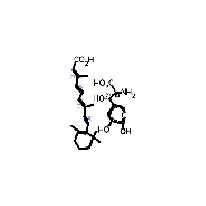 CC1=C(/C=C/C(C)=C/C=C/C(C)=C/C(=O)O)C(C)(C)CCC1.N[C@H](C(=O)O)[C@@H](O)c1ccc(O)c(O)c1